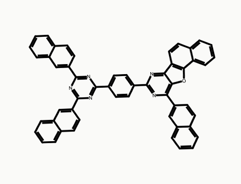 c1ccc2cc(-c3nc(-c4ccc(-c5nc(-c6ccc7ccccc7c6)c6oc7c8ccccc8ccc7c6n5)cc4)nc(-c4ccc5ccccc5c4)n3)ccc2c1